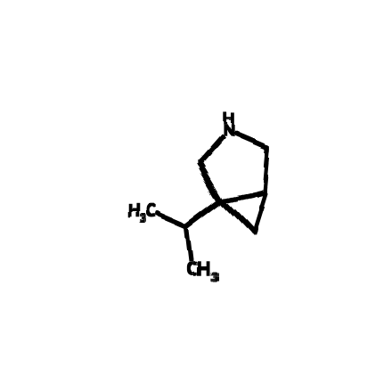 CC(C)C12CNCC1C2